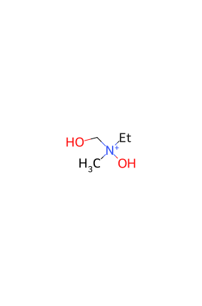 CC[N+](C)(O)CO